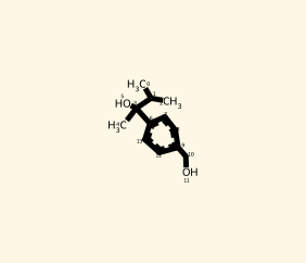 CC(C)C(C)(O)c1ccc(CO)cc1